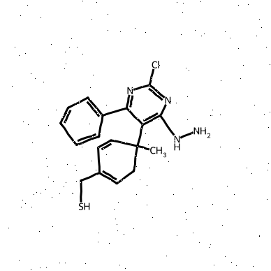 CC1(c2c(NN)nc(Cl)nc2-c2ccccc2)C=CC(CS)=CC1